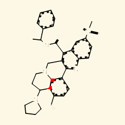 CS(=O)(=O)c1ccc2nc(-c3ccc(C(F)(F)F)cc3)c(CN3CCC(N4CCCC4)CC3)c(C(=O)NC(c3ccccc3)C(F)(F)F)c2c1